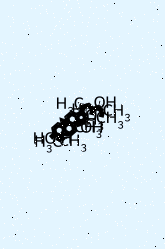 CC(C)[C@@H](O)C1C[C@@H](C)[C@H]2C(O1)[C@H](O)C1(C)C3CC[C@H]4C(C)(C)C(O)CCC45CC35CCC21C